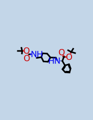 CC(C)(C)OC(=O)NCC1CCC(CN[C@H](C(=O)OC(C)(C)C)c2ccccc2)CC1